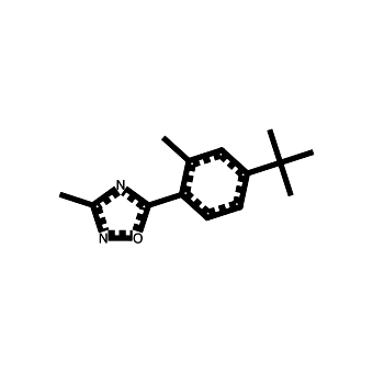 Cc1noc(-c2ccc(C(C)(C)C)cc2C)n1